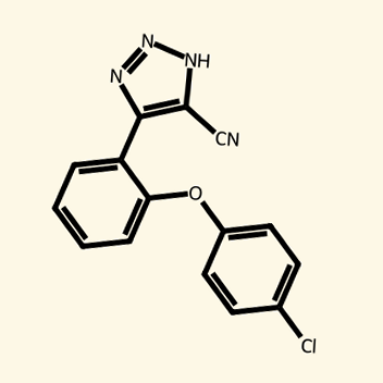 N#Cc1[nH]nnc1-c1ccccc1Oc1ccc(Cl)cc1